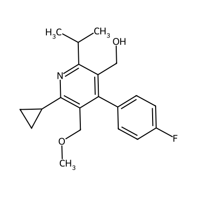 COCc1c(C2CC2)nc(C(C)C)c(CO)c1-c1ccc(F)cc1